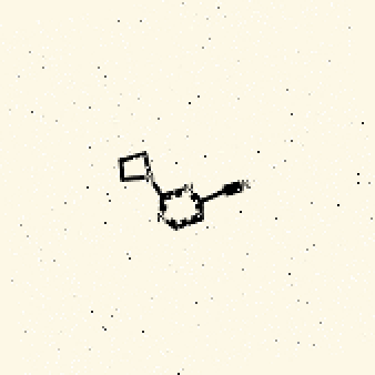 N#Cc1ccnc(N2CCC2)n1